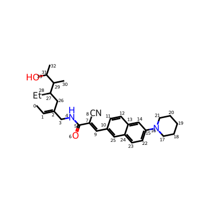 C/C=C(/CNC(=O)/C(C#N)=C/c1ccc2cc(N3CCCCC3)ccc2c1)CC(CC)C(C)C(C)O